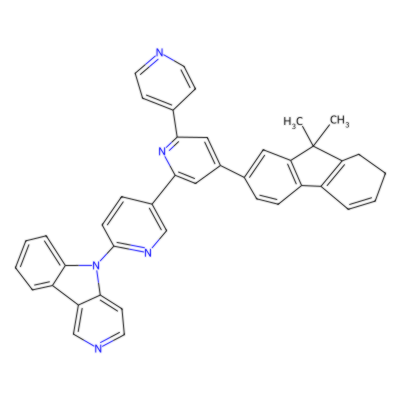 CC1(C)C2=C(C=CCC2)c2ccc(-c3cc(-c4ccncc4)nc(-c4ccc(-n5c6ccccc6c6cnccc65)nc4)c3)cc21